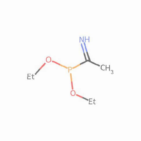 CCOP(OCC)C(C)=N